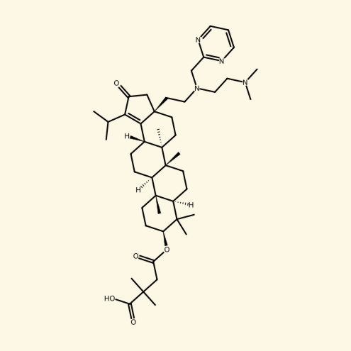 CC(C)C1=C2[C@H]3CC[C@@H]4[C@@]5(C)CC[C@H](OC(=O)CC(C)(C)C(=O)O)C(C)(C)[C@@H]5CC[C@@]4(C)[C@]3(C)CC[C@@]2(CCN(CCN(C)C)Cc2ncccn2)CC1=O